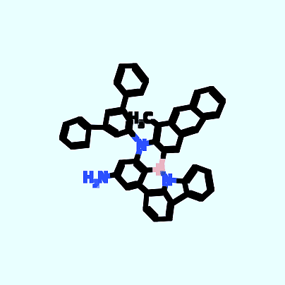 Cc1c2c(cc3cc4ccccc4cc13)B1c3c(cc(N)cc3N2c2cc(-c3ccccc3)cc(-c3ccccc3)c2)-c2cccc3c4ccccc4n1c23